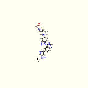 CNc1cncc(-c2ccc3ncnc(NC4CCC(N5CCC[C@H](CN6CCOCC6)C5)CC4)c3c2)c1